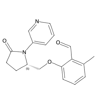 Cc1cccc(OC[C@@H]2CCC(=O)N2c2cccnc2)c1C=O